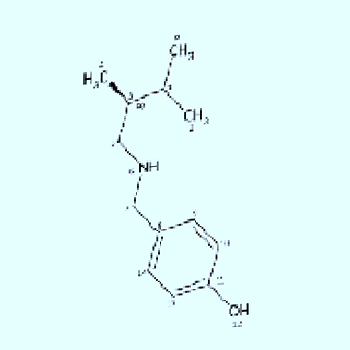 CC(C)[C@H](C)CNCc1ccc(O)cc1